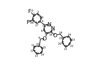 Fc1ccc(-c2cc(OCc3ccccc3)c(OCc3ccccc3)nn2)cc1F